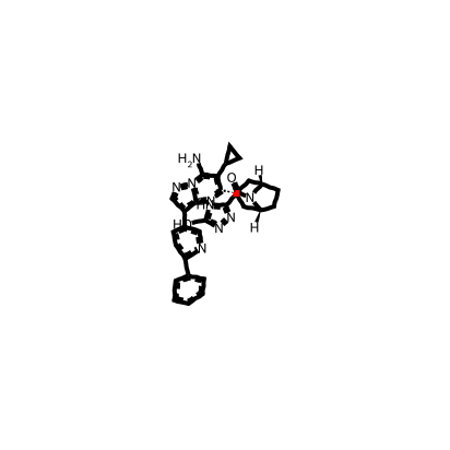 Nc1c(C2CC2)c([C@H]2C[C@H]3CC[C@@H](C2)N3C(=O)c2nnc(O)[nH]2)nc2c(-c3ccc(-c4ccccc4)nc3)cnn12